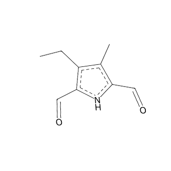 CCc1c(C=O)[nH]c(C=O)c1C